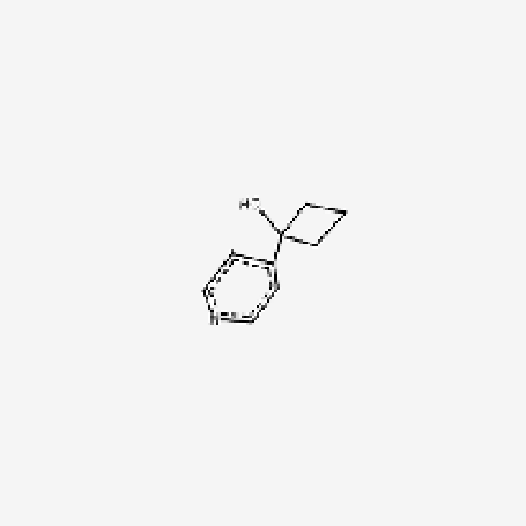 OC1(c2[c]cncc2)CCC1